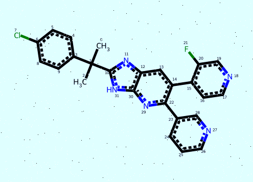 CC(C)(c1ccc(Cl)cc1)c1nc2cc(-c3ccncc3F)c(-c3cccnc3)nc2[nH]1